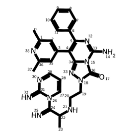 Cc1cc(-c2c(-c3ccccc3)nc(N)n3c(=O)n(CCNC(C)C(=N)n4cccnc4=N)nc23)cc(C)n1